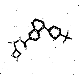 C[C@@H](NC(=O)c1ccc2c(-c3ccc(C(F)(F)F)cc3)cccc2c1)C1CNC1